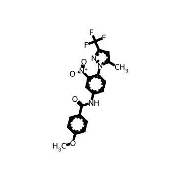 COc1ccc(C(=O)Nc2ccc(-n3nc(C(F)(F)F)cc3C)c([N+](=O)[O-])c2)cc1